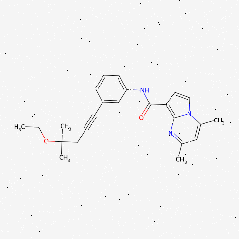 CCOC(C)(C)CC#Cc1cccc(NC(=O)c2ccn3c(C)cc(C)nc23)c1